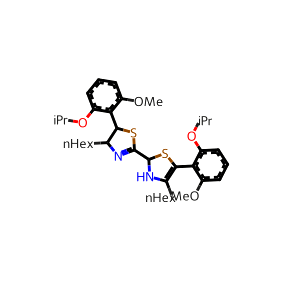 CCCCCCC1=C(c2c(OC)cccc2OC(C)C)SC(C2=NC(CCCCCC)C(c3c(OC)cccc3OC(C)C)S2)N1